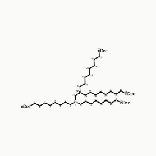 CCCCCCCCCCCCCCCCCCP(CCCCCCCCCCCCCCCCCC)CP(CCCCCCCCCCCCCCCCCC)CCCCCCCCCCCCCCCCCC